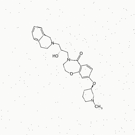 CN1CCC[C@@H](Oc2ccc3c(c2)OCCN(C[C@H](O)CN2CCc4ccccc4C2)C3=O)C1